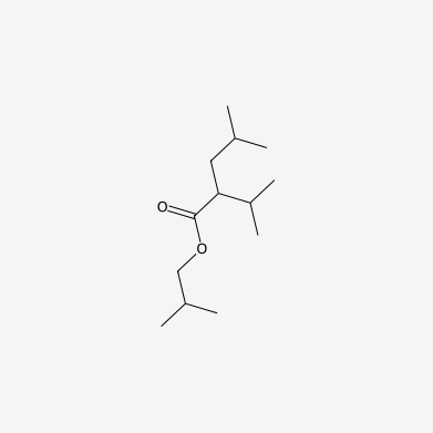 CC(C)COC(=O)C(CC(C)C)C(C)C